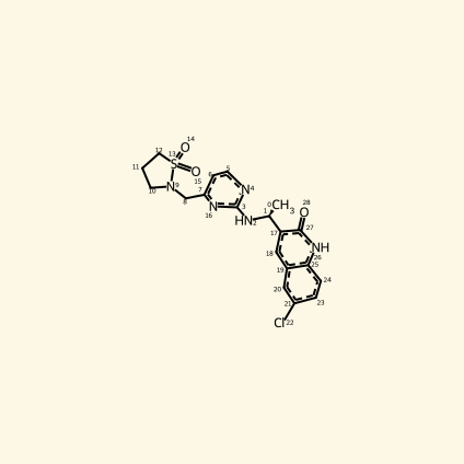 C[C@H](Nc1nccc(CN2CCCS2(=O)=O)n1)c1cc2cc(Cl)ccc2[nH]c1=O